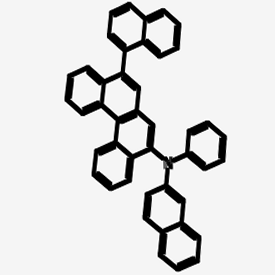 c1ccc(N(c2ccc3ccccc3c2)c2cc3cc(-c4cccc5ccccc45)c4ccccc4c3c3ccccc23)cc1